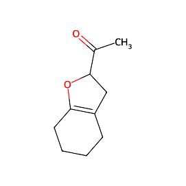 CC(=O)C1CC2=C(CCCC2)O1